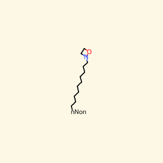 CCCCCCCCCCCCCCCCCCCN1CCO1